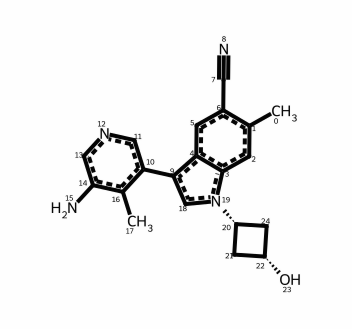 Cc1cc2c(cc1C#N)c(-c1cncc(N)c1C)cn2[C@H]1C[C@@H](O)C1